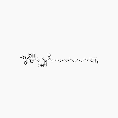 CCCCCCCCCCCCC(=O)NCC(O)COP(=O)(O)O